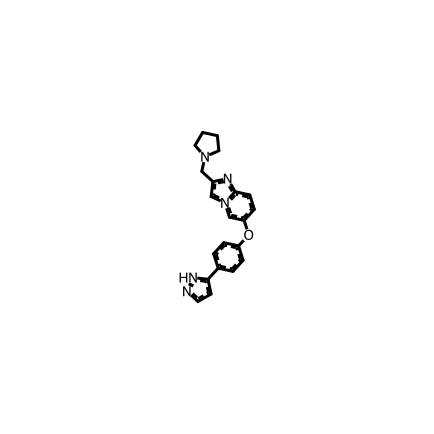 c1cc(-c2ccc(Oc3ccc4nc(CN5CCCC5)cn4c3)cc2)[nH]n1